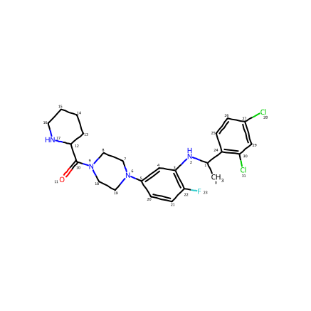 CC(Nc1cc(N2CCN(C(=O)C3CCCCN3)CC2)ccc1F)c1ccc(Cl)cc1Cl